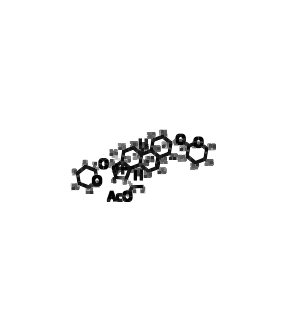 CC(=O)OC(C)[C@@H]1C[C@H](O[C@H]2CCCCO2)[C@@]2(C)CC[C@H]3[C@@H](CC=C4C[C@@H](OC5CCCCO5)CC[C@@]43C)[C@H]12